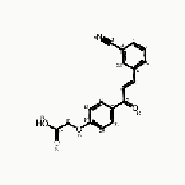 N#Cc1cccc(/C=C/C(=O)c2ccc(OCC(=O)O)cc2)c1